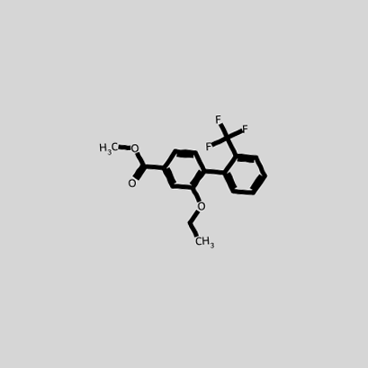 CCOc1cc(C(=O)OC)ccc1-c1ccccc1C(F)(F)F